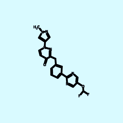 Cn1cc(-n2ccc(=O)c(Cc3cccc(-c4ncc(OC(F)F)cn4)c3)n2)cn1